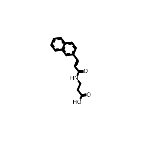 O=C(O)CCNC(=O)C=Cc1ccc2ccccc2c1